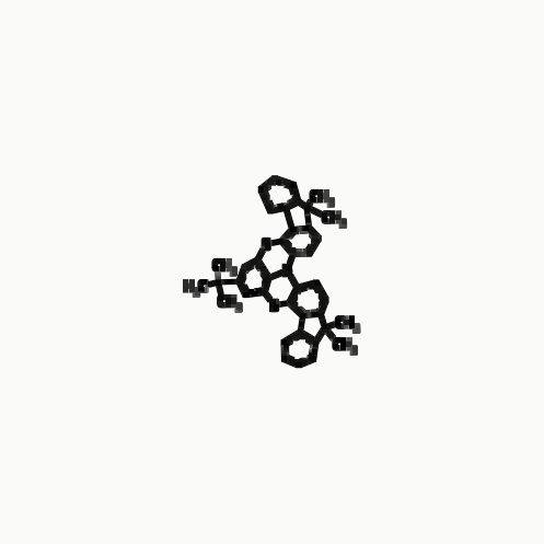 CC(C)(C)c1cc2c3c(c1)Sc1c(ccc4c1-c1ccccc1C4(C)C)B3c1ccc3c(c1S2)-c1ccccc1C3(C)C